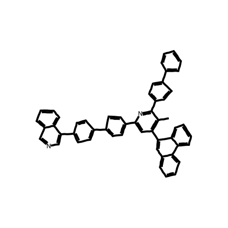 Cc1c(-c2cc3ccccc3c3ccccc23)cc(-c2ccc(-c3ccc(-c4cncc5ccccc45)cc3)cc2)nc1-c1ccc(-c2ccccc2)cc1